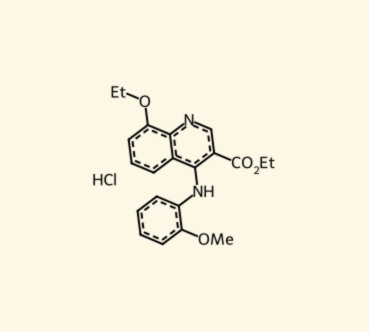 CCOC(=O)c1cnc2c(OCC)cccc2c1Nc1ccccc1OC.Cl